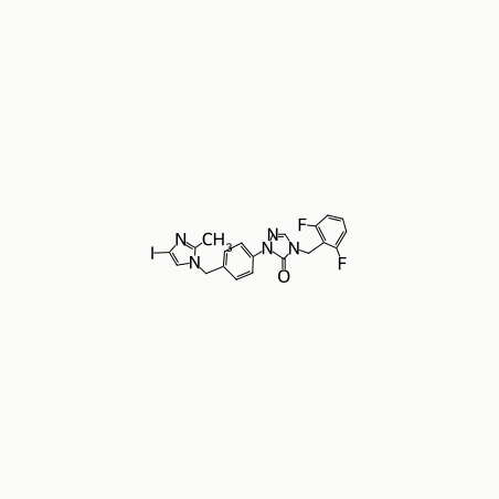 Cc1nc(I)cn1Cc1ccc(-n2ncn(Cc3c(F)cccc3F)c2=O)cc1